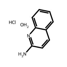 Cl.Nc1ccc2ccccc2n1.O